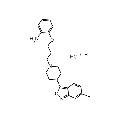 Cl.Cl.Nc1ccccc1OCCCN1CCC(c2onc3cc(F)ccc23)CC1